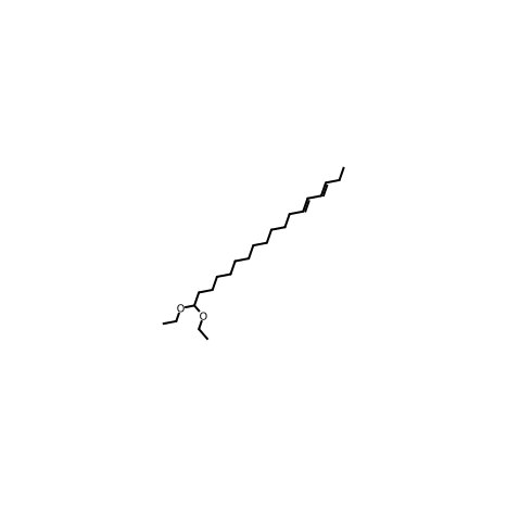 CCC=CC=CCCCCCCCCCCCC(OCC)OCC